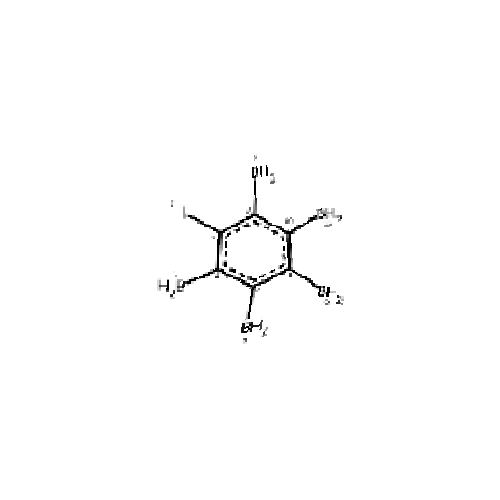 Bc1c(B)c(B)c(I)c(B)c1B